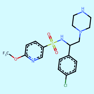 O=S(=O)(NC(CN1CCNCC1)c1ccc(Cl)cc1)c1ccc(OC(F)(F)F)nc1